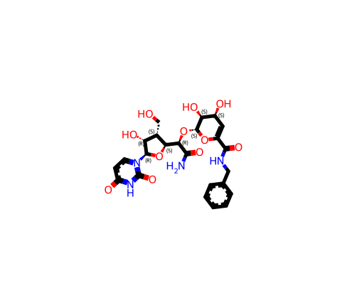 NC(=O)[C@H](O[C@H]1OC(C(=O)NCc2ccccc2)=C[C@H](O)[C@@H]1O)[C@H]1O[C@@H](n2ccc(=O)[nH]c2=O)[C@H](O)[C@@H]1CO